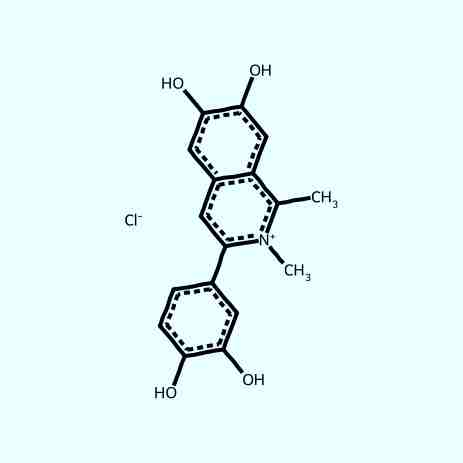 Cc1c2cc(O)c(O)cc2cc(-c2ccc(O)c(O)c2)[n+]1C.[Cl-]